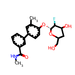 CNC(=O)c1cccc(-c2ccc(O[C@H]3OC(CO)CC(O)C3F)c(C)c2)c1